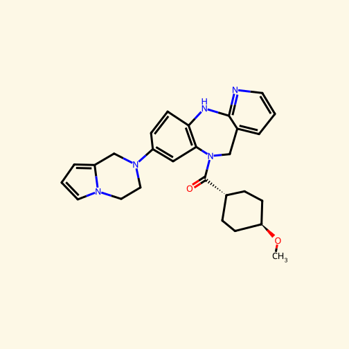 CO[C@H]1CC[C@H](C(=O)N2Cc3cccnc3Nc3ccc(N4CCn5cccc5C4)cc32)CC1